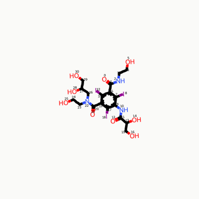 O=C(NCCO)c1c(I)c(NC(=O)C(O)CO)c(I)c(C(=O)N(CCO)CC(O)CO)c1I